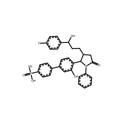 O=C1CC(CCC(O)c2ccc(F)cc2)C(c2ccc(-c3ccc(P(=O)(O)O)cc3)cc2O)N1c1ccccc1